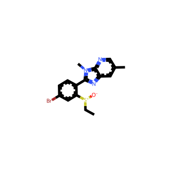 CC[S+]([O-])c1cc(Br)ccc1-c1nc2cc(C)cnc2n1C